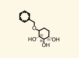 O[C@H]1[C@H](O)C(OCc2ccccc2)CC[C@@H]1O